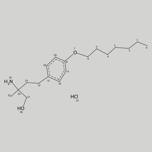 CCCCCCCOc1ccc(CCC(C)(N)CO)cc1.Cl